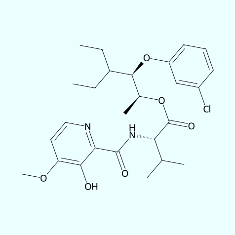 CCC(CC)[C@@H](Oc1cccc(Cl)c1)[C@H](C)OC(=O)[C@@H](NC(=O)c1nccc(OC)c1O)C(C)C